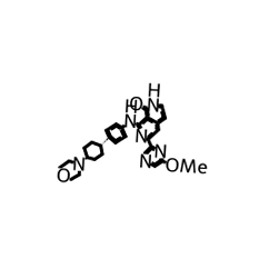 COc1cncc(-c2cc3cc[nH]c(=O)c3c(Nc3ccc([C@H]4CC[C@@H](N5CCOCC5)CC4)cc3)n2)n1